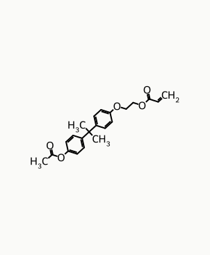 C=CC(=O)OCCOc1ccc(C(C)(C)c2ccc(OC(C)=O)cc2)cc1